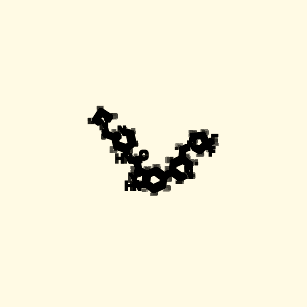 O=C(Nc1ccnc(CN2CCC2)c1)c1n[nH]c2ccc(-c3cncc(CN4CCC(F)(F)C4)c3)cc12